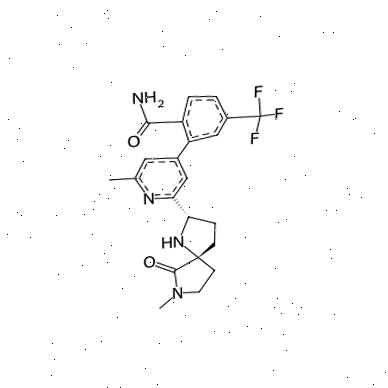 Cc1cc(-c2cc(C(F)(F)F)ccc2C(N)=O)cc([C@@H]2CC[C@]3(CCN(C)C3=O)N2)n1